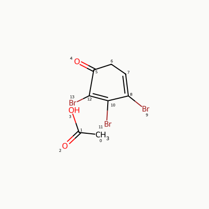 CC(=O)O.O=C1CC=C(Br)C(Br)=C1Br